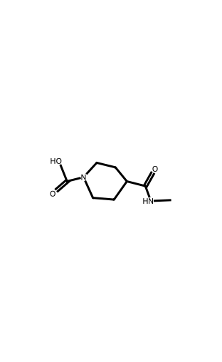 CNC(=O)C1CCN(C(=O)O)CC1